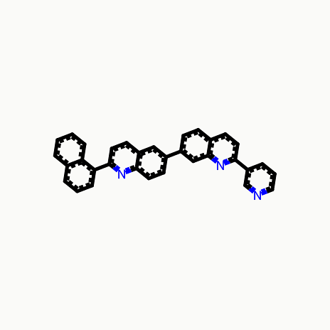 c1cncc(-c2ccc3ccc(-c4ccc5nc(-c6cccc7ccccc67)ccc5c4)cc3n2)c1